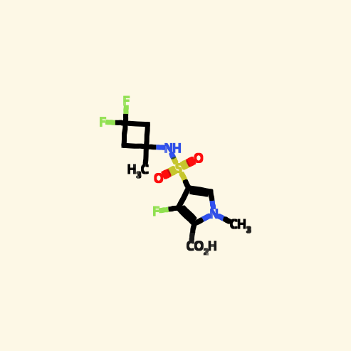 Cn1cc(S(=O)(=O)NC2(C)CC(F)(F)C2)c(F)c1C(=O)O